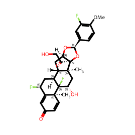 COc1ccc([C@@H]2O[C@@H]3C[C@H]4[C@@H]5C[C@H](F)C6=CC(=O)C=C[C@]6(C)[C@@]5(F)[C@@H](O)C[C@]4(C)[C@]3(C(=O)CO)O2)cc1F